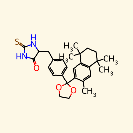 Cc1cc2c(cc1C1(c3ccc(CC4NC(=S)NC4=O)cc3)OCCO1)C(C)(C)CCC2(C)C